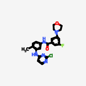 Cc1ccc(NC(=O)c2cc(F)cc(N3CCOCC3)c2)cc1Nc1ccnc(Cl)n1